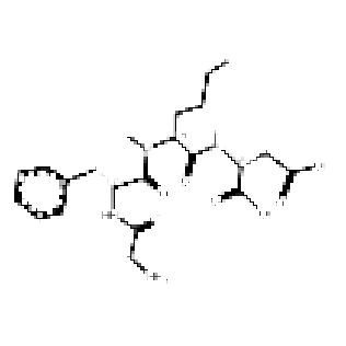 CCCC[C@@H](C(=O)N[C@@H](CC(=O)O)C(=O)O)N(C)C(=O)[C@@H](Cc1ccccc1)NC(=O)CN